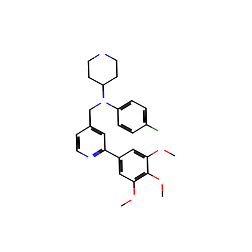 COc1cc(-c2cc(CN(c3ccc(Cl)cc3)C3CCNCC3)ccn2)cc(OC)c1OC